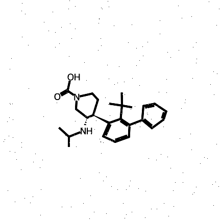 CC(C)N[C@@H]1CN(C(=O)O)CC[C@H]1c1cccc(-c2ccccc2)c1C(C)(C)C